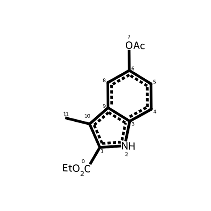 CCOC(=O)c1[nH]c2ccc(OC(C)=O)cc2c1C